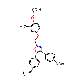 C=Cc1ccc(-c2oc(COc3ccc(OCC(=O)O)c(C)c3)nc2-c2ccc(OC)cc2)cc1